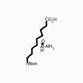 CCCCCCCCCCCCCCCCCC(=O)O.[AlH3].[O]=[AlH]